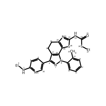 CCNc1ccc(-c2nn(-c3ccccc3C)c3c2CCc2nc(NC(=O)SCC)sc2-3)cn1